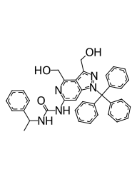 CC(NC(=O)Nc1cc2c(c(CO)n1)c(CO)nn2C(c1ccccc1)(c1ccccc1)c1ccccc1)c1ccccc1